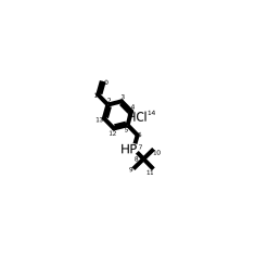 C=Cc1ccc(CPC(C)(C)C)cc1.Cl